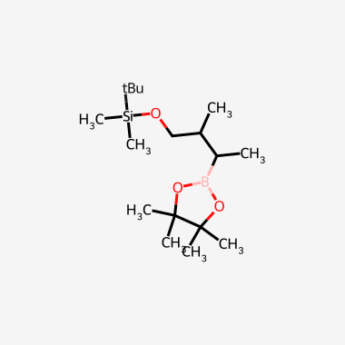 CC(CO[Si](C)(C)C(C)(C)C)C(C)B1OC(C)(C)C(C)(C)O1